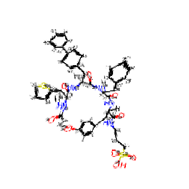 O=C1COc2ccc(cc2)C[C@@H](C(=O)NCCCS(=O)(=O)O)NC(=O)[C@H](Cc2ccccc2)NC(=O)[C@H](Cc2ccc(-c3ccccc3)cc2)NC(=O)[C@H](Cc2cccs2)N1